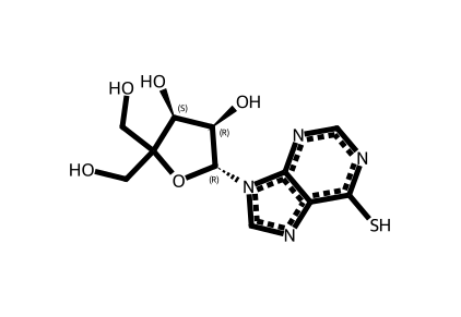 OCC1(CO)O[C@@H](n2cnc3c(S)ncnc32)[C@H](O)[C@@H]1O